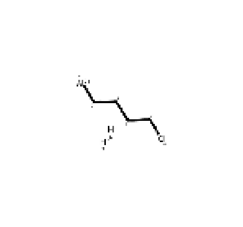 [Al+2][CH2]CCCCl.[H-].[H-]